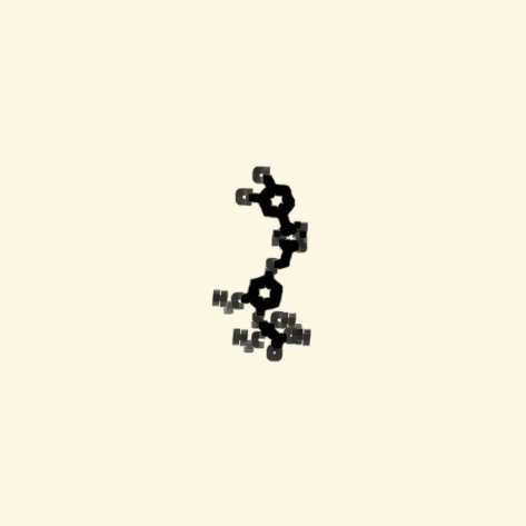 Cc1cc(SCc2nc(-c3ccc(Cl)c(Cl)c3)ns2)ccc1SC(C)(C)C(=O)O